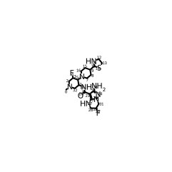 CN1CC(F)C(N2CCC(C3NCCS3)CC2)C(NC(=O)c2c(N)nn3c2NCC(F)C3)C1